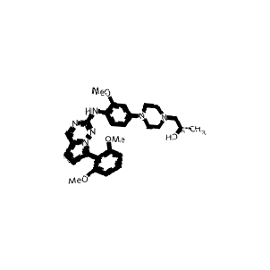 COc1cc(N2CCN(C[C@H](C)O)CC2)ccc1Nc1ncc2ccc(-c3c(OC)cccc3OC)n2n1